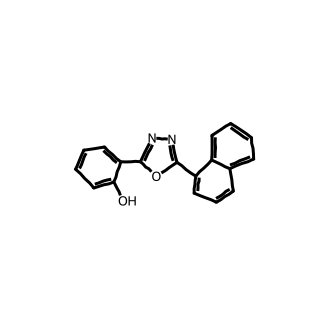 Oc1ccccc1-c1nnc(-c2cccc3ccccc23)o1